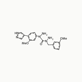 COc1cccc(CN(N)C(=O)N(N)c2ccc(-c3cn[nH]c3)c(OC)c2)c1